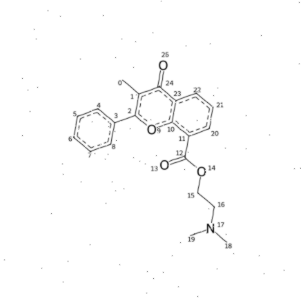 Cc1c(-c2ccccc2)oc2c(C(=O)OCCN(C)C)cccc2c1=O